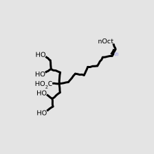 CCCCCCCC/C=C\CCCCCCC(CC(O)CO)(CC(O)CO)C(=O)O